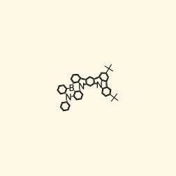 CC(C)(C)c1ccc2c(c1)c1cc(C(C)(C)C)cc3c4cc5c6cccc7c6n(c5cc4n2c13)-c1cccc2c1B7c1ccccc1N2c1ccccc1